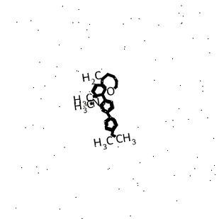 C=C1CCCCOC2=C1C=CC1(C)C2c2ccc(-c3ccc(C(C)C)cc3)cc2N1C